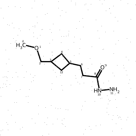 COCC1CC(CCC(=O)NN)C1